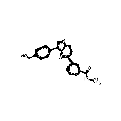 CNC(=O)c1cccc(-c2ccc3ncc(-c4ccc(CO)cc4)n3n2)c1